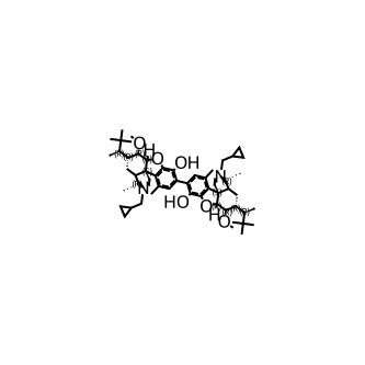 CO[C@@H]1[C@@H]([C@@H](C)C(C)(C)C)CC2[C@@H](C)N(CC3CC3)CC[C@@]23c2c(C)cc(-c4cc(C)c5c(c4O)O[C@H]4[C@H](OC)[C@@H]([C@@H](C)C(C)(C)C)CC6[C@@H](C)N(CC7CC7)CC[C@@]564)c(O)c2O[C@@H]13